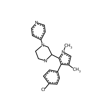 Cc1cn(C)c(C2CN(c3ccncc3)CC[N]2)c1-c1ccc(Cl)cc1